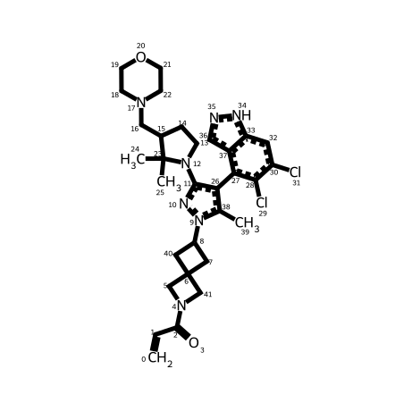 C=CC(=O)N1CC2(CC(n3nc(N4CCC(CN5CCOCC5)C4(C)C)c(-c4c(Cl)c(Cl)cc5[nH]ncc45)c3C)C2)C1